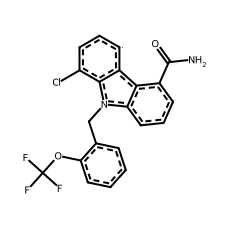 NC(=O)c1cccc2c1c1[c]ccc(Cl)c1n2Cc1ccccc1OC(F)(F)F